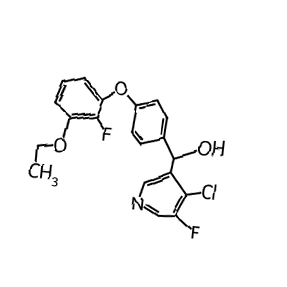 CCOc1cccc(Oc2ccc(C(O)c3cncc(F)c3Cl)cc2)c1F